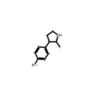 CC1NCCC1c1ccc(Br)cc1